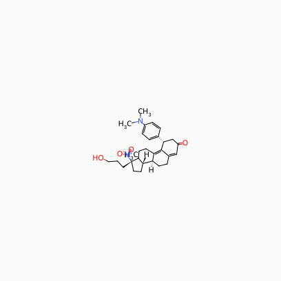 CN(C)c1ccc([C@@H]2CC(=O)C=C3CC[C@@H]4C(=C32)CC[C@@]2(C)[C@H]4CC[C@]2(CCCO)[N+](=O)[O-])cc1